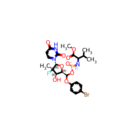 COC(=O)C(/N=[P+](\[O-])OC(Oc1ccc(Br)cc1)[C@@H]1O[C@@H](n2ccc(=O)[nH]c2=O)[C@](C)(F)[C@@H]1O)C(C)C